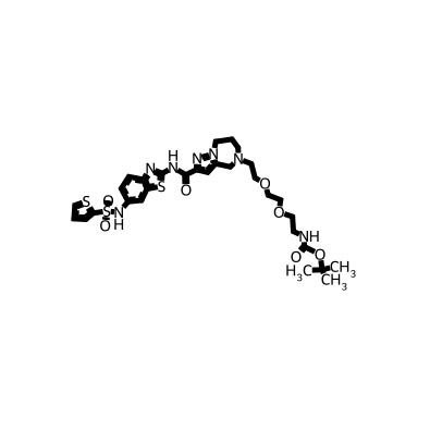 CC(C)(C)OC(=O)NCCOCCOCCN1CCCn2nc(C(=O)Nc3nc4ccc(NS(=O)(=O)c5cccs5)cc4s3)cc2C1